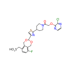 O=C(COc1nccnc1Cl)N1CCC(c2nc(C3OCc4c(F)ccc(CS(=O)(=O)O)c4CO3)cs2)CC1